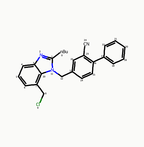 CCCCc1nc2cccc(CCl)c2n1Cc1ccc(-c2ccccc2)c(C#N)c1